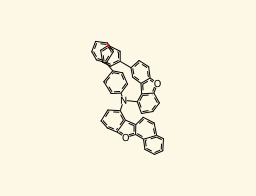 c1ccc(-c2ccc(N(c3cccc4oc5ccc(-c6ccccc6)cc5c34)c3cccc4oc5c6ccccc6ccc5c34)cc2)cc1